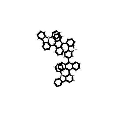 c1ccc(-n2c3ccccc3c3cccc(-c4c5ccccc5c(-c5ccc6c(c5)oc5cccc(-c7c8ccccc8c(-c8cccc9c%10ccccc%10n(-c%10ccccc%10)c89)c8ccccc78)c56)c5ccccc45)c32)cc1